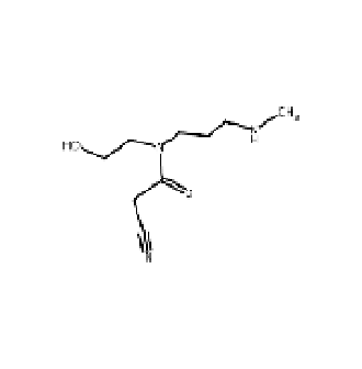 CNCCCN(CCO)C(=O)CC#N